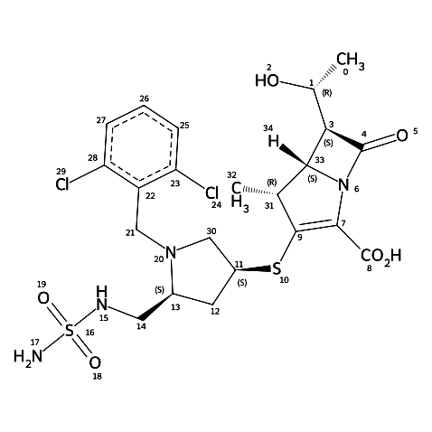 C[C@@H](O)[C@H]1C(=O)N2C(C(=O)O)=C(S[C@H]3C[C@@H](CNS(N)(=O)=O)N(Cc4c(Cl)cccc4Cl)C3)[C@H](C)[C@H]12